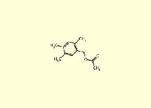 CC(=O)OCc1cc(C)c(C)cc1C